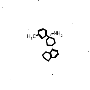 Cc1cccc([C@]2(CN)CC[C@@H](c3cccc4c3CCCC4)CC2)c1